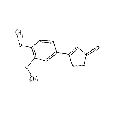 COc1ccc(C2=CC(=O)CC2)cc1OC